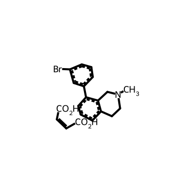 CN1CCc2cccc(-c3cccc(Br)c3)c2C1.O=C(O)/C=C\C(=O)O